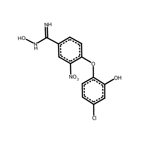 N=C(NO)c1ccc(Oc2ccc(Cl)cc2O)c([N+](=O)[O-])c1